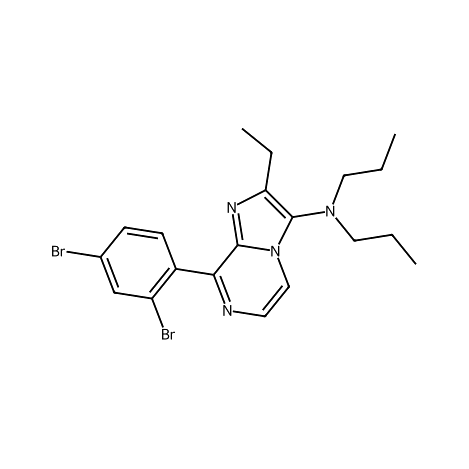 CCCN(CCC)c1c(CC)nc2c(-c3ccc(Br)cc3Br)nccn12